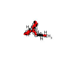 CNOCCCNC(=O)CCCSSC(C)(C)CCC(=O)Nc1cc(COc2cc3c(cc2OC)C(=O)N2c4ccccc4C[C@H]2C=N3)cc(COc2cc3c(cc2OC)C(=O)N2c4ccccc4C[C@H]2CN3)c1